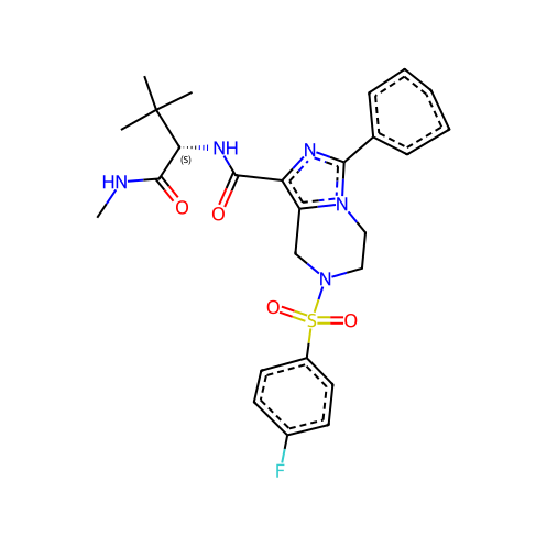 CNC(=O)[C@@H](NC(=O)c1nc(-c2ccccc2)n2c1CN(S(=O)(=O)c1ccc(F)cc1)CC2)C(C)(C)C